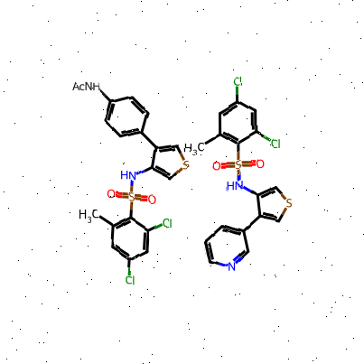 CC(=O)Nc1ccc(-c2cscc2NS(=O)(=O)c2c(C)cc(Cl)cc2Cl)cc1.Cc1cc(Cl)cc(Cl)c1S(=O)(=O)Nc1cscc1-c1cccnc1